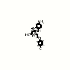 Cc1ccc2c(c1)NC(CC(=O)O)(SCCOc1ccc(Cl)cc1)N2